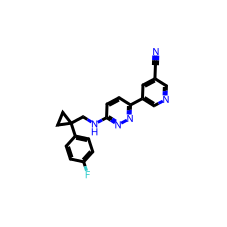 N#Cc1cncc(-c2ccc(NCC3(c4ccc(F)cc4)CC3)nn2)c1